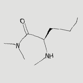 CCC[C@@H](NC)C(=O)N(C)C